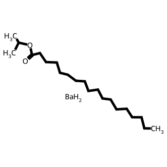 CCCCCCCCCCCCCCCCCC(=O)OC(C)C.[BaH2]